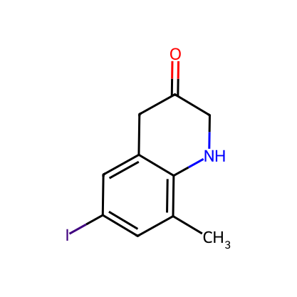 Cc1cc(I)cc2c1NCC(=O)C2